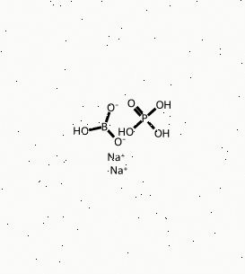 O=P(O)(O)O.[Na+].[Na+].[O-]B([O-])O